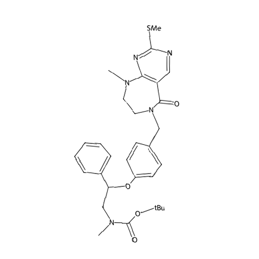 CSc1ncc2c(n1)N(C)CCN(Cc1ccc(OC(CN(C)C(=O)OC(C)(C)C)c3ccccc3)cc1)C2=O